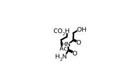 CC(=O)CCC(=O)O.NC(=O)NC(=O)CO